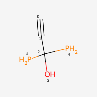 C#CC(O)(P)P